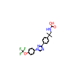 CC(C)(CNC(=O)O)c1ccc(-c2ncn(-c3ccc(OC(F)(F)F)cc3)n2)cc1